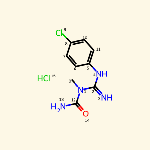 CN(C(=N)Nc1ccc(Cl)cc1)C(N)=O.Cl